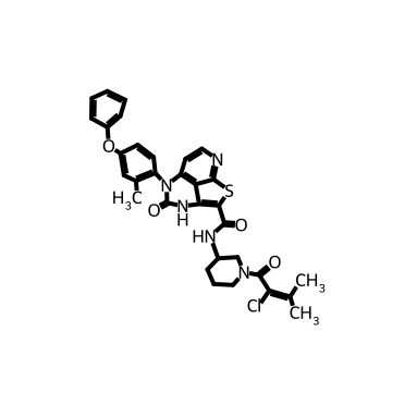 CC(C)=C(Cl)C(=O)N1CCCC(NC(=O)c2sc3nccc4c3c2NC(=O)N4c2ccc(Oc3ccccc3)cc2C)C1